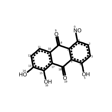 O=Nc1ccc(O)c2c1C(=O)c1ccc(O)c(O)c1C2=O